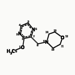 COc1nccnc1CN1CCOCC1